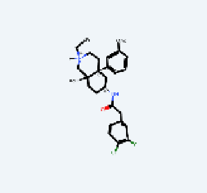 CC(=O)Oc1cccc([C@]23CC[N@@+](C)(CC(C)C)CC2(OC(C)=O)CC[C@@H](NC(=O)Cc2ccc(Cl)c(Cl)c2)C3)c1